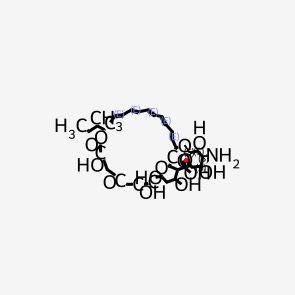 CCC(C)C1C/C=C/C=C/C=C/C=C/C=C/C(O[C@@H]2OC[C@@H](O)[C@H](N)[C@@H]2O)CC2OC(O)(CC(O)CCCC(=O)CC(O)CC(=O)O1)CC(O)C2C(=O)O